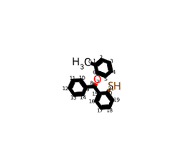 Cc1ccccc1.O=C(c1ccccc1)c1ccccc1S